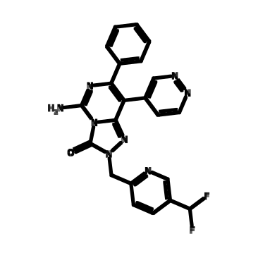 Nc1nc(-c2ccccc2)c(-c2ccnnc2)c2nn(Cc3ccc(C(F)F)cn3)c(=O)n12